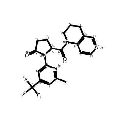 Cc1cc(C(F)(F)F)cc(N2C(=O)CC[C@H]2C(=O)N2CCCc3cnccc32)n1